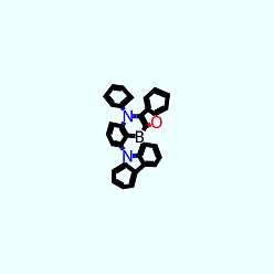 c1ccc(N2c3cccc4c3B(c3oc5ccccc5c32)c2cccc3c5ccccc5n-4c23)cc1